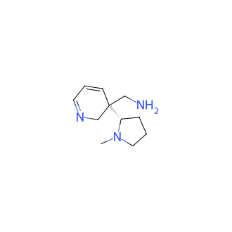 CN1CCC[C@H]1C1(CN)C=CC=NC1